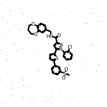 CS(=O)(=O)c1cccc(-c2ccc(-c3cc(C(=O)NCc4ccc5c(c4)OCCCO5)nn3-c3ccccc3Cl)s2)c1